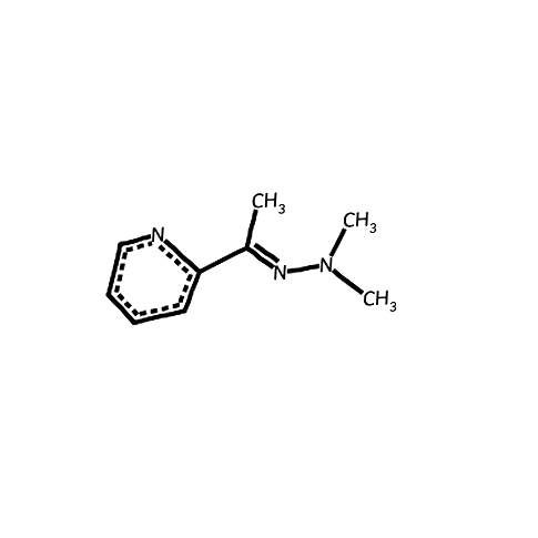 C/C(=N\N(C)C)c1ccccn1